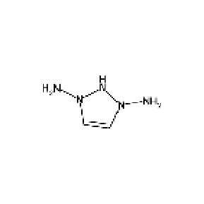 NN1C=CN(N)N1